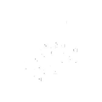 CCCCNc1ccc(Nc2c(C(=O)C3CC3)cnc3ccc(-c4cc(Cl)c(C)c(Cl)c4)cc23)cn1